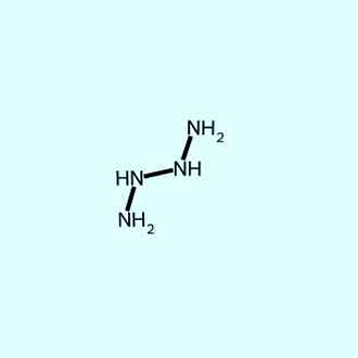 NNNN